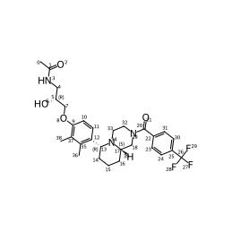 CC(=O)NC[C@@H](O)COc1ccc([C@H]2CCC[C@H]3CN(C(=O)c4ccc(C(F)(F)F)cc4)CCN32)c(C)c1C